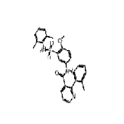 COc1ccc(NC(=O)c2cccnc2-c2ccccc2C)cc1S(=O)(=O)Nc1c(C)cccc1C